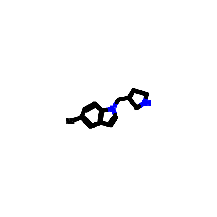 N#Cc1ccc2c(ccn2CC2CCNC2)c1